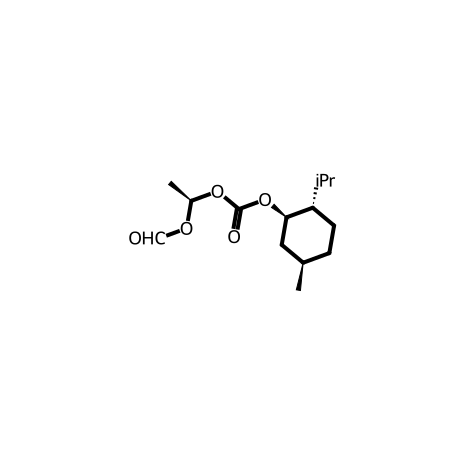 CC(C)[C@@H]1CC[C@@H](C)C[C@H]1OC(=O)O[C@H](C)OC=O